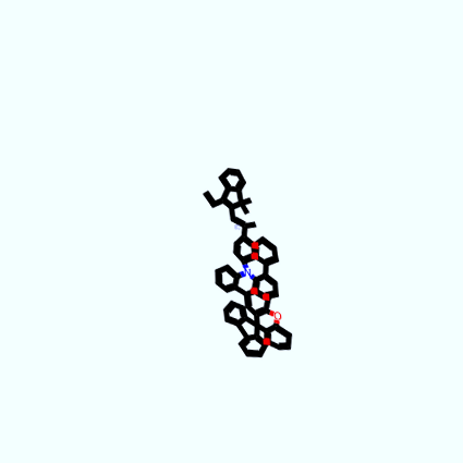 C=CC1=C(/C=C(\C)c2ccc(N(c3ccccc3-c3ccccc3)c3ccccc3-c3ccc4c(c3)C3(c5ccccc5O4)c4ccccc4-c4ccccc43)cc2)C(C)(C)c2ccccc21